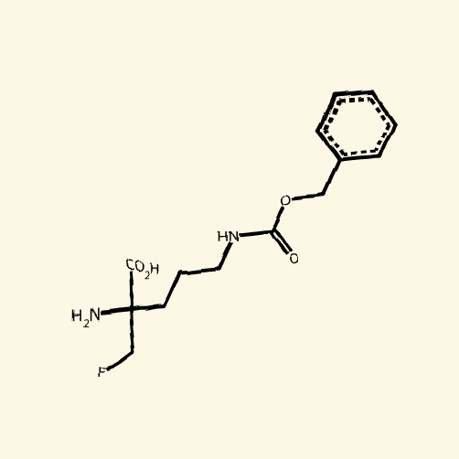 NC(CF)(CCCNC(=O)OCc1ccccc1)C(=O)O